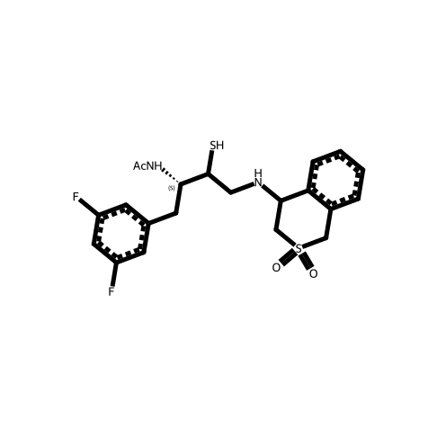 CC(=O)N[C@@H](Cc1cc(F)cc(F)c1)C(S)CNC1CS(=O)(=O)Cc2ccccc21